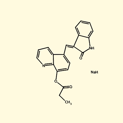 CCC(=O)Oc1ccc(C=C2C(=O)Nc3ccccc32)c2cccnc12.[NaH]